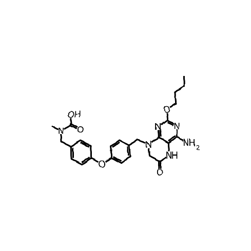 CCCCOc1nc(N)c2c(n1)N(Cc1ccc(Oc3ccc(CN(C)C(=O)O)cc3)cc1)CC(=O)N2